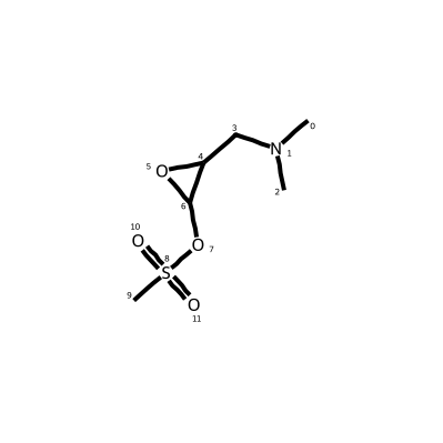 CN(C)CC1OC1OS(C)(=O)=O